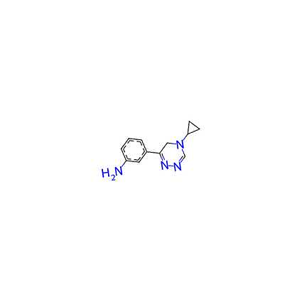 Nc1cccc(C2=NN=CN(C3CC3)C2)c1